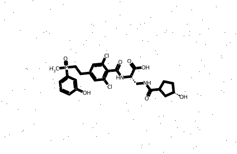 CP(=O)(CCc1cc(Cl)c(C(=O)N[C@@H](CNC(=O)C2CC[C@H](O)C2)C(=O)O)c(Cl)c1)c1cccc(O)c1